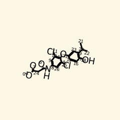 COC(=O)CC(=O)Nc1cc(Cl)c(Oc2ccc(O)c(C(C)C)c2)c(Cl)c1